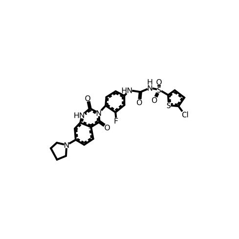 O=C(Nc1ccc(-n2c(=O)[nH]c3cc(N4CCCC4)ccc3c2=O)c(F)c1)NS(=O)(=O)c1ccc(Cl)s1